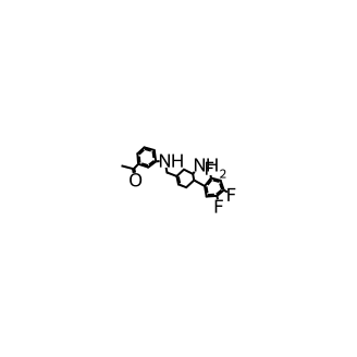 CC(=O)c1cccc(NCC2=CCC(c3cc(F)c(F)cc3F)C(N)C2)c1